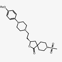 COc1ccc(N2CCN(CC[C@H]3CC4(CCN(S(C)(=O)=O)CC4)C(=O)O3)CC2)cc1